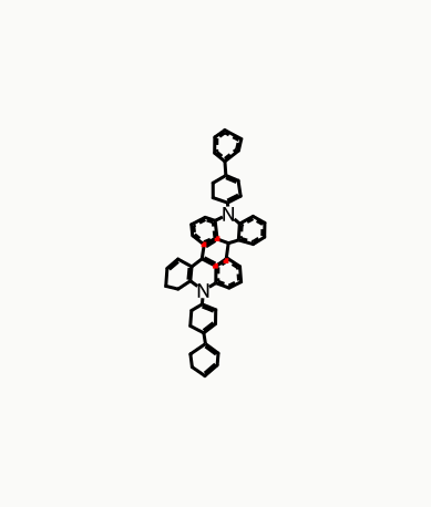 C1=CCCC(C2=CC=C(N(C3=C(C4=CCC(c5ccccc5N(C5=CC=C(c6ccccc6)CC5)c5ccccc5)C=C4)C=CCC3)c3ccccc3)CC2)=C1